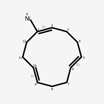 [Ni]/[C]1=C/CC/C=C/CC/C=C/CC1